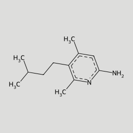 Cc1cc(N)nc(C)c1CCC(C)C